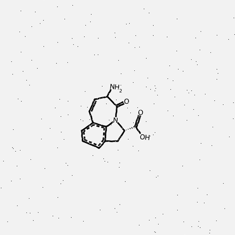 NC1C=Cc2cccc3c2N(C1=O)[C@H](C(=O)O)C3